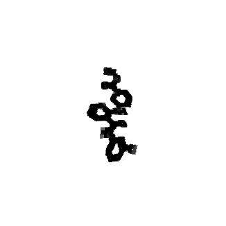 CC(C)(C)OC(=O)N1CCC[C@H](Nc2ncccc2C(=O)Nc2cccc(Cl)c2)C1